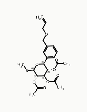 C=CCOCc1cccc([C@@H]2O[C@H](SC)[C@@H](OC(C)=O)[C@H](OC(C)=O)[C@H]2OC(C)=O)c1